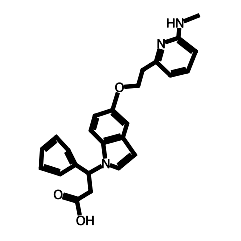 CNc1cccc(CCOc2ccc3c(ccn3C(CC(=O)O)c3ccccc3)c2)n1